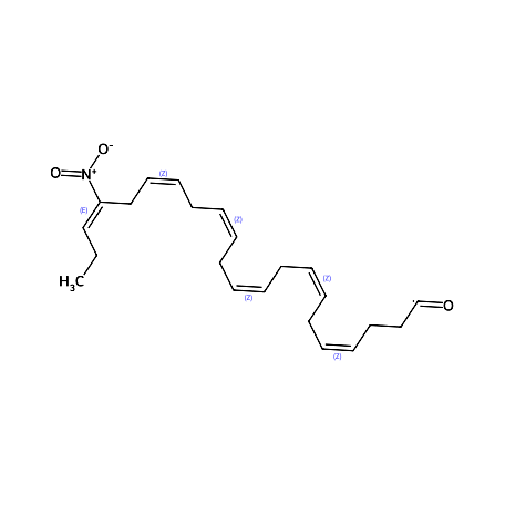 CC/C=C(\C/C=C\C/C=C\C/C=C\C/C=C\C/C=C\CC[C]=O)[N+](=O)[O-]